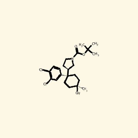 CC(C)(C)OC(=O)N1CC[C@H]([C@]2(c3ccc(Cl)c(Cl)c3)CC[C@](C)(O)CC2)C1